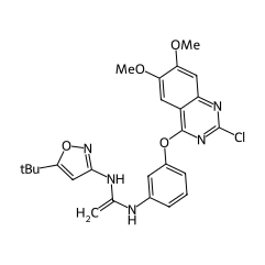 C=C(Nc1cccc(Oc2nc(Cl)nc3cc(OC)c(OC)cc23)c1)Nc1cc(C(C)(C)C)on1